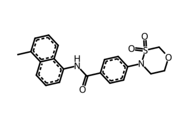 Cc1cccc2c(NC(=O)c3ccc(N4CCOCS4(=O)=O)cc3)cccc12